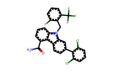 NC(=O)c1cccc2c1c1[c]cc(-c3c(Cl)cccc3Cl)cc1n2Cc1c(F)cccc1C(F)(F)F